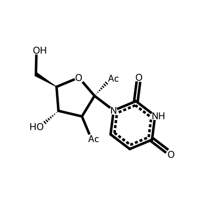 CC(=O)C1[C@H](O)[C@@H](CO)O[C@@]1(C(C)=O)n1ccc(=O)[nH]c1=O